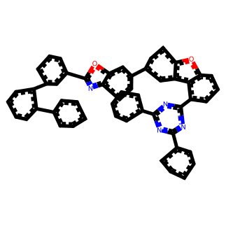 c1ccc(-c2nc(-c3ccccc3)nc(-c3cccc4oc5ccc(-c6ccc7nc(-c8cccc(-c9ccccc9-c9ccccc9)c8)oc7c6)cc5c34)n2)cc1